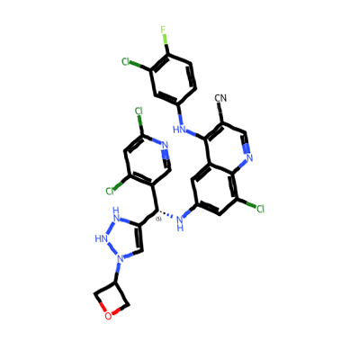 N#Cc1cnc2c(Cl)cc(N[C@H](C3=CN(C4COC4)NN3)c3cnc(Cl)cc3Cl)cc2c1Nc1ccc(F)c(Cl)c1